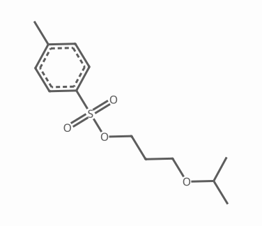 Cc1ccc(S(=O)(=O)OCCCOC(C)C)cc1